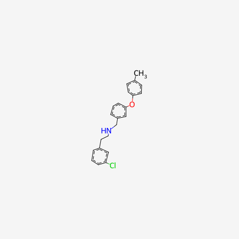 Cc1ccc(Oc2cccc(CNCCc3cccc(Cl)c3)c2)cc1